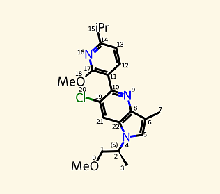 COC[C@H](C)n1cc(C)c2nc(-c3ccc(C(C)C)nc3OC)c(Cl)cc21